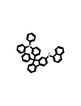 c1ccc(N(c2ccccc2)c2cccc(C3(c4ccccc4)c4ccccc4-c4ccc(Nc5cccc6ccccc56)cc43)c2)cc1